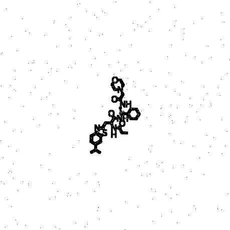 CCC(=O)NC(Cc1nc2ccc(C(C)C)cc2s1)C(=O)N[C@H](CNC(=O)CN1CCOCC1)C1CCCCC1